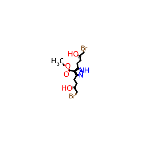 CCOC(=O)c1c(CC[C@@H](O)CBr)n[nH]c1CC[C@@H](O)CBr